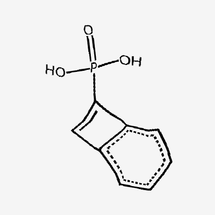 O=P(O)(O)C1=Cc2ccccc21